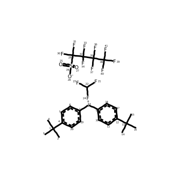 CC(C)(C)c1ccc([I+]c2ccc(C(C)(C)C)cc2)cc1.FC(F)F.O=S(=O)([O-])C(F)(F)C(F)(F)C(F)(F)C(F)(F)F